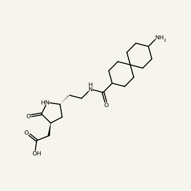 NC1CCC2(CC1)CCC(C(=O)NCC[C@@H]1C[C@@H](CC(=O)O)C(=O)N1)CC2